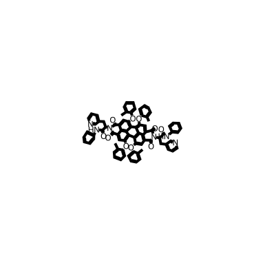 Cc1ccccc1Oc1cc2c3c(cc(Oc4ccccc4C)c4c5c(Oc6ccccc6C)cc6c7c(cc(Oc8ccccc8C)c(c1c34)c75)C(=O)N(C(Cc1cccnc1)C(=O)Nc1ccccc1)C6=O)C(=O)N(C(Cc1cccnc1)C(=O)Nc1ccccc1)C2=O